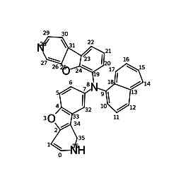 C1=Cc2oc3ccc(N(c4cccc5ccccc45)c4cccc5c4oc4cnccc45)cc3c2CN1